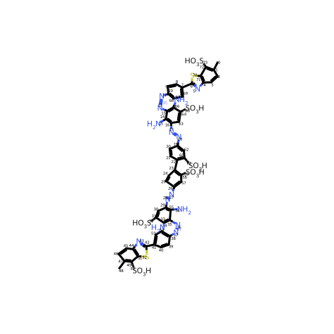 Cc1ccc2nc(-c3ccc(/N=N\c4c(N)c(N=Nc5ccc(-c6ccc(N=Nc7cc(S(=O)(=O)O)c(N)c(/N=N\c8ccc(-c9nc%10ccc(C)c(S(=O)(=O)O)c%10s9)cc8)c7N)cc6S(=O)(=O)O)c(S(=O)(=O)O)c5)cc(S(=O)(=O)O)c4N)cc3)sc2c1S(=O)(=O)O